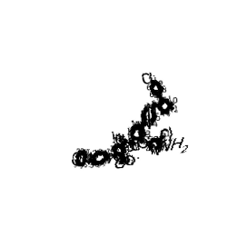 CC1(C)CCC(CN2CCN(c3ccc(C(=O)NS(=O)(=O)c4ccc(NC5CCC(N6CCOCC6)CC5)c([N+](=O)[O-])c4)c(Oc4cnc(N)c(Cl)c4)c3)CC2)=C(c2ccc(Cl)cc2)C1